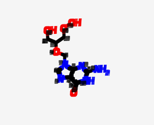 Nc1nc2c(ncn2COC(CO)COO)c(=O)[nH]1